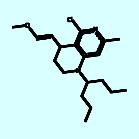 CCCC(CCC)N1CCC(C=COC)c2c1cc(C)nc2Cl